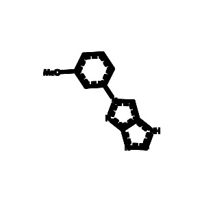 COc1cccc(-n2cc3[nH][c]nc3n2)c1